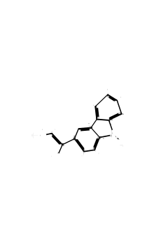 CCn1c2ccccc2c2cc(C(Cl)=CC=O)ccc21